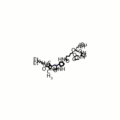 CCN(CC)CCNC(=O)c1c(C)[nH]c(/C=C2\C(=O)Nc3ccc(NC(=O)CCCC(=O)O[C@@H](CNC(C)(C)C)COc4nsnc4N4CCOCC4)cc32)c1C